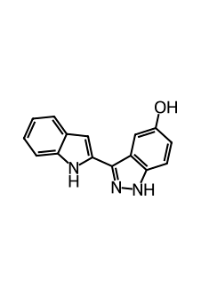 Oc1ccc2[nH]nc(-c3cc4ccccc4[nH]3)c2c1